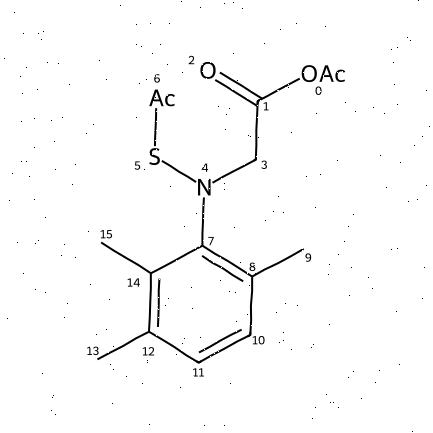 CC(=O)OC(=O)CN(SC(C)=O)c1c(C)ccc(C)c1C